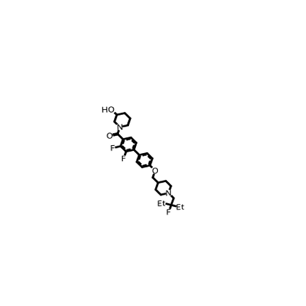 CCC(F)(CC)CN1CCC(COc2ccc(-c3ccc(C(=O)N4CCCC(O)C4)c(F)c3F)cc2)CC1